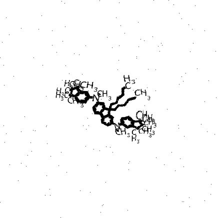 CCCCCCC1(CCCCCC)c2cc(N(C)c3ccc4c(c3)C(C)(C)C(C)(C)C4(C)C)ccc2-c2ccc(N(C)c3ccc4c(c3)C(C)(C)C(C)(C)C4(C)C)cc21